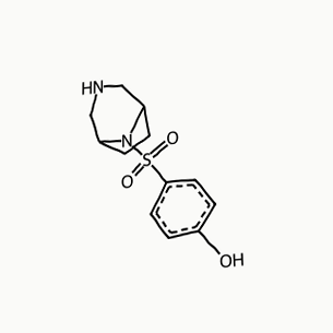 O=S(=O)(c1ccc(O)cc1)N1C2CCC1CNC2